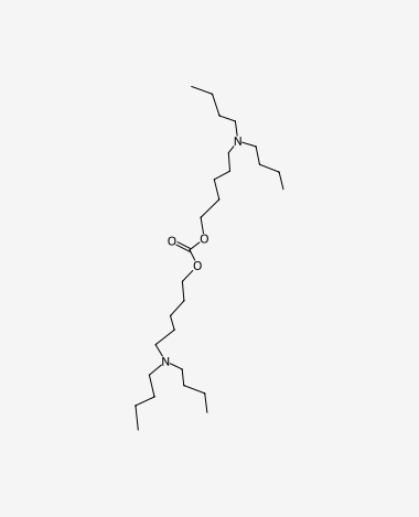 CCCCN(CCCC)CCCCCOC(=O)OCCCCCN(CCCC)CCCC